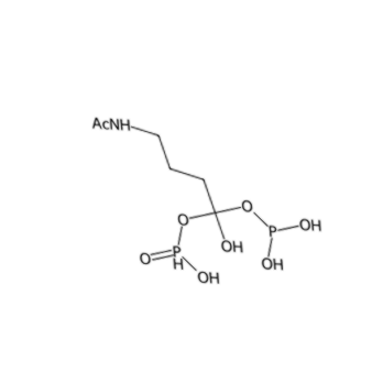 CC(=O)NCCCC(O)(OP(O)O)O[PH](=O)O